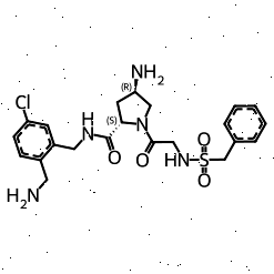 NCc1ccc(Cl)cc1CNC(=O)[C@@H]1C[C@@H](N)CN1C(=O)CNS(=O)(=O)Cc1ccccc1